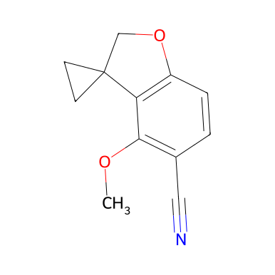 COc1c(C#N)ccc2c1C1(CC1)CO2